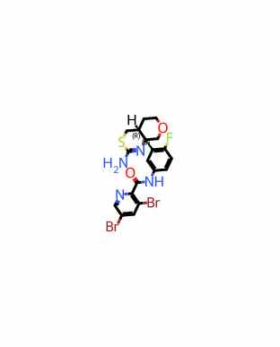 NC1=N[C@@]2(c3cc(NC(=O)c4ncc(Br)cc4Br)ccc3F)COCC[C@H]2CS1